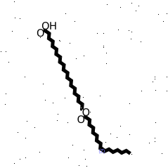 CCCCCC/C=C\CCCCCCCC(=O)OCCCCCCCCCCCCCCCCCCCCC(=O)O